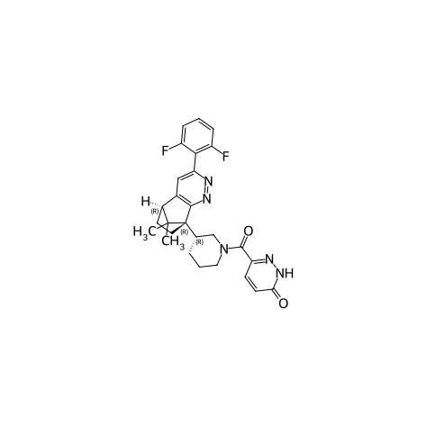 CC1(C)[C@H]2CC[C@]1([C@H]1CCCN(C(=O)c3ccc(=O)[nH]n3)C1)c1nnc(-c3c(F)cccc3F)cc12